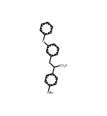 CC(C)COc1ccc(C(Cc2cccc(Oc3ccccc3)c2)C(=O)O)cc1